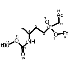 CCOP(=O)(CCC(C)NC(=O)OC(C)(C)C)CC(C)=O